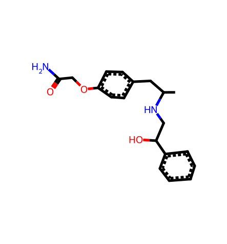 CC(Cc1ccc(OCC(N)=O)cc1)NCC(O)c1ccccc1